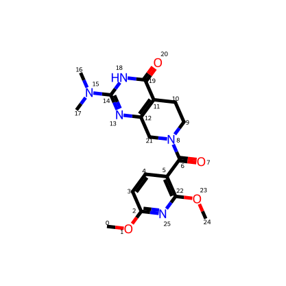 COc1ccc(C(=O)N2CCc3c(nc(N(C)C)[nH]c3=O)C2)c(OC)n1